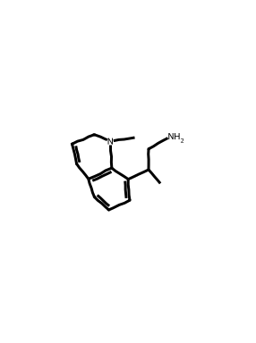 CC(CN)c1cccc2c1N(C)CC=C2